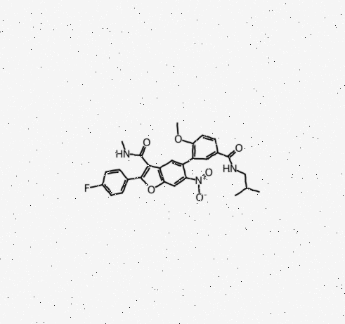 CNC(=O)c1c(-c2ccc(F)cc2)oc2cc([N+](=O)[O-])c(-c3cc(C(=O)NCC(C)C)ccc3OC)cc12